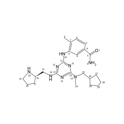 Cc1ccc(C(N)=O)cc1Nc1nc(NC[C@H]2CCCN2)nc(N(C)CC2CCCC2)n1